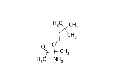 CC(=O)C(C)(N)OCCC(C)(C)C